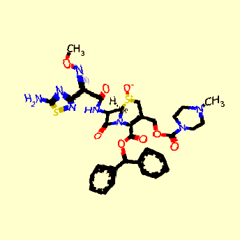 CO/N=C(/C(=O)NC1C(=O)N2C(C(=O)OC(c3ccccc3)c3ccccc3)=C(COC(=O)N3CCN(C)CC3)C[S+]([O-])[C@H]12)c1nsc(N)n1